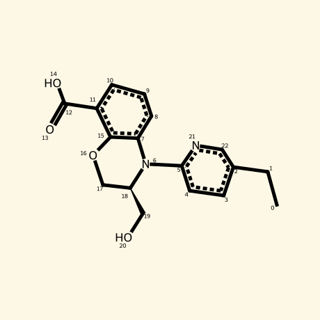 CCc1ccc(N2c3cccc(C(=O)O)c3OC[C@@H]2CO)nc1